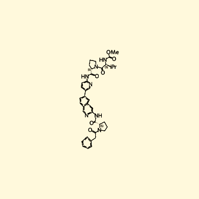 COC(=O)N[C@H](C(=O)N1CCC[C@H]1C(=O)Nc1ccc(-c2ccc3cnc(NC(=O)[C@@H]4CCCN4C(=O)Cc4ccccc4)cc3c2)cn1)C(C)C